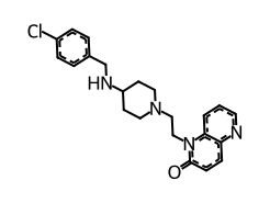 O=c1ccc2ncccc2n1CCN1CCC(NCc2ccc(Cl)cc2)CC1